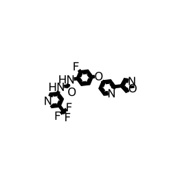 O=C(Nc1cncc(C(F)(F)F)c1)Nc1ccc(Oc2ccnc(-c3cnoc3)c2)cc1F